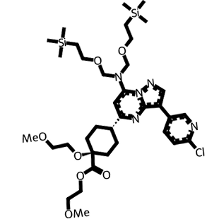 COCCOC(=O)[C@]1(OCCOC)CC[C@H](c2cc(N(COCC[Si](C)(C)C)COCC[Si](C)(C)C)n3ncc(-c4ccc(Cl)nc4)c3n2)CC1